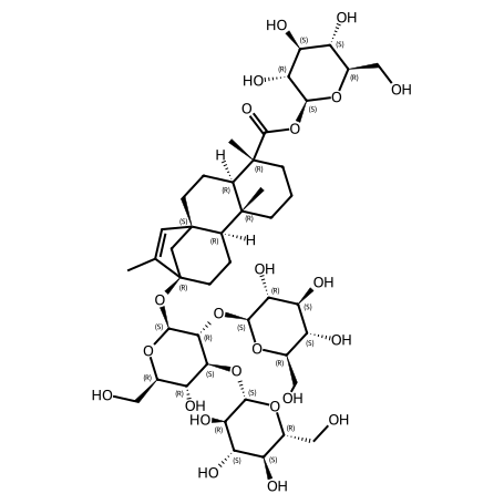 CC1=C[C@]23CC[C@@H]4[C@](C)(CCC[C@@]4(C)C(=O)O[C@@H]4O[C@H](CO)[C@@H](O)[C@H](O)[C@H]4O)[C@H]2CC[C@@]1(O[C@@H]1O[C@H](CO)[C@@H](O)[C@H](O[C@@H]2O[C@H](CO)[C@@H](O)[C@H](O)[C@H]2O)[C@H]1O[C@@H]1O[C@H](CO)[C@@H](O)[C@H](O)[C@H]1O)C3